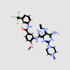 C=C/N=C1/C(N)=NC(N2CCN(C)CC2)=N/C1=C(/N)Nc1cc(C(=O)Nc2cccc(C(F)(F)F)c2)ccc1OC